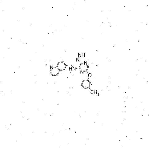 Cc1cccc(Oc2cnc(N=N)c(NCc3ccc4ncccc4c3)n2)n1